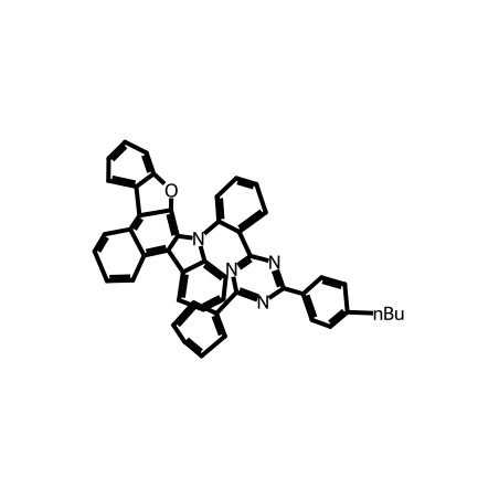 CCCCc1ccc(-c2nc(-c3ccccc3)nc(-c3ccccc3-n3c4ccccc4c4c5ccccc5c5c6ccccc6oc5c43)n2)cc1